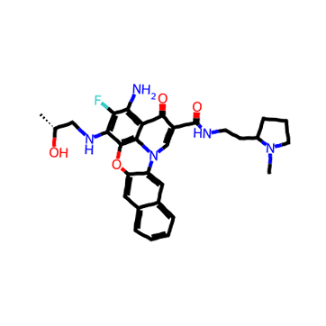 C[C@@H](O)CNc1c(F)c(N)c2c(=O)c(C(=O)NCCC3CCCN3C)cn3c2c1Oc1cc2ccccc2cc1-3